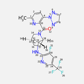 Cc1ccc(-n2nccn2)c(C(=O)N2C[C@@H]3CC[C@H]2[C@H](Nc2ncc(C(F)(F)F)cc2F)C3)n1